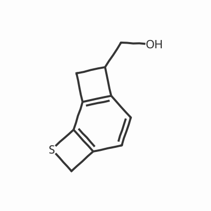 OCC1Cc2c1ccc1c2SC1